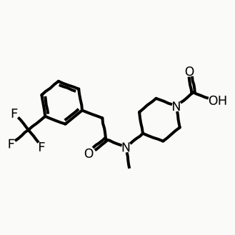 CN(C(=O)Cc1cccc(C(F)(F)F)c1)C1CCN(C(=O)O)CC1